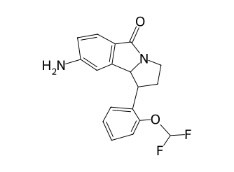 Nc1ccc2c(c1)C1C(c3ccccc3OC(F)F)CCN1C2=O